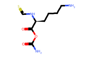 NCCCC[C@H](NC=S)C(=O)OC(N)=O